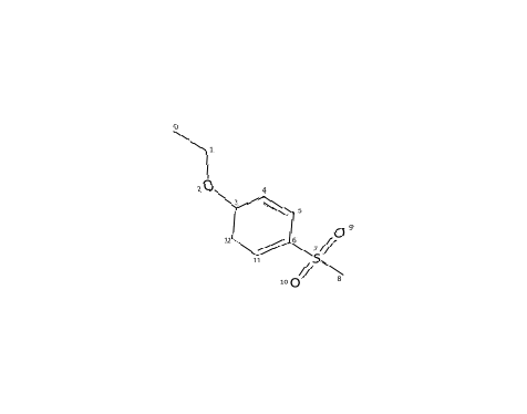 CCOC1C=CC(S(C)(=O)=O)=CC1